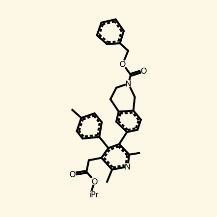 Cc1ccc(-c2c(CC(=O)OC(C)C)c(C)nc(C)c2-c2ccc3c(c2)CCN(C(=O)OCc2ccccc2)C3)cc1